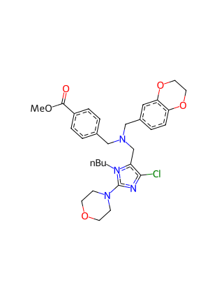 CCCCn1c(N2CCOCC2)nc(Cl)c1CN(Cc1ccc(C(=O)OC)cc1)Cc1ccc2c(c1)OCCO2